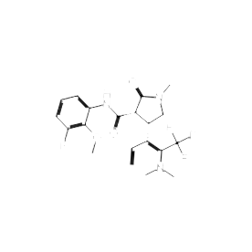 C=C/C(=C(\N(C)C)C(F)(F)F)[C@H]1CN(C)C(=O)[C@@H]1C(=O)Nc1cccc(F)c1OC